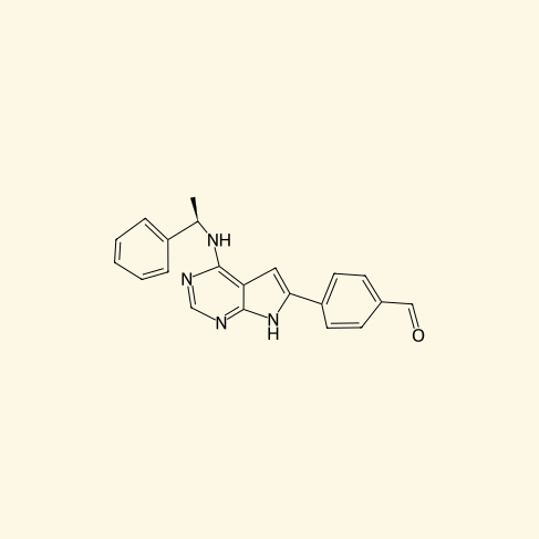 C[C@@H](Nc1ncnc2[nH]c(-c3ccc(C=O)cc3)cc12)c1ccccc1